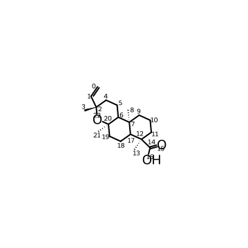 C=C[C@]1(C)CCC2[C@@]3(C)CCC[C@@](C)(C(=O)O)C3CC[C@@]2(C)O1